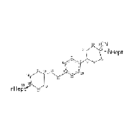 CCCCCCCC1(C#N)CCC(c2ccc(CC[C@H]3CC[C@H](CCCCCCC)CC3)cc2)CC1